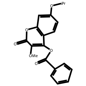 COc1c(OC(=O)c2ccccc2)c2ccc(OC(C)C)cc2oc1=O